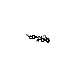 CN(C)CC1=Cc2ccc(NC(=O)c3ccc(-c4ccccc4Cl)cc3)cc2CC1